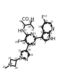 CC(Nc1nc(-c2c[nH]c3ncc(F)cc23)nc(-c2cnn(C3CN(C)C3)c2)c1F)C(C)C(=O)O